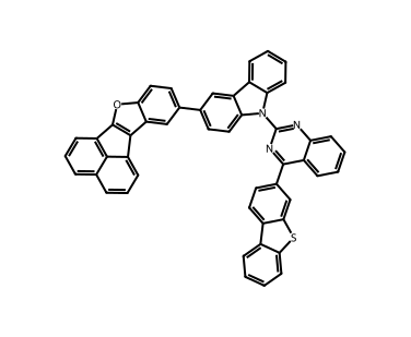 c1cc2c3c(cccc3c1)-c1c-2oc2ccc(-c3ccc4c(c3)c3ccccc3n4-c3nc(-c4ccc5c(c4)sc4ccccc45)c4ccccc4n3)cc12